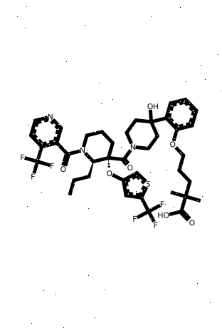 CCC[C@H]1N(C(=O)c2cnccc2C(F)(F)F)CCC[C@@]1(Oc1csc(C(F)(F)F)c1)C(=O)N1CCC(O)(c2ccccc2OCCCC(C)(C)C(=O)O)CC1